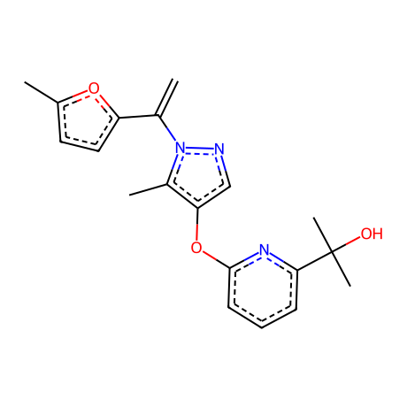 C=C(c1ccc(C)o1)n1ncc(Oc2cccc(C(C)(C)O)n2)c1C